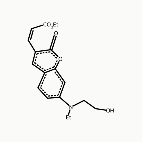 CCOC(=O)/C=C\c1cc2ccc(N(CC)CCO)cc2oc1=O